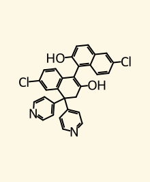 OC1=C(c2c(O)ccc3cc(Cl)ccc23)c2ccc(Cl)cc2C(c2ccncc2)(c2ccncc2)C1